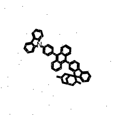 CC1CC2CC(C)C3(c4ccccc4-c4ccc(-c5c6ccccc6c(-c6ccc(-n7c8ccccc8c8ccccc87)cc6)c6ccccc56)cc43)C(C1)C2